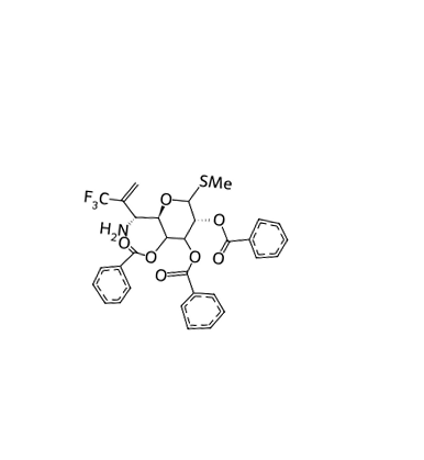 C=C([C@@H](N)[C@H]1OC(SC)[C@H](OC(=O)c2ccccc2)C(OC(=O)c2ccccc2)C1OC(=O)c1ccccc1)C(F)(F)F